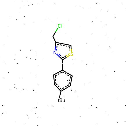 CC(C)(C)c1ccc(-c2nc(CCl)cs2)cc1